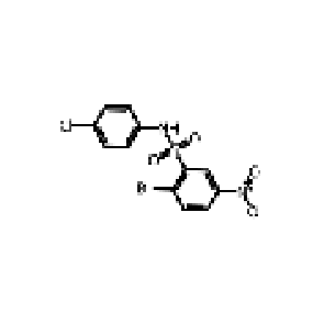 O=[N+]([O-])c1ccc(Br)c(S(=O)(=O)Nc2ccc(Cl)cc2)c1